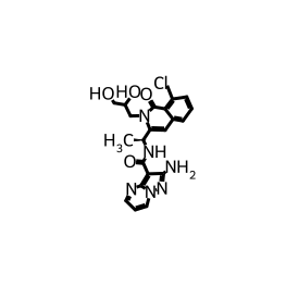 C[C@H](NC(=O)c1c(N)nn2cccnc12)c1cc2cccc(Cl)c2c(=O)n1CC(O)CO